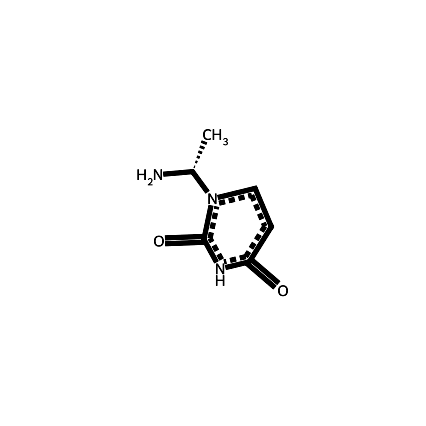 C[C@@H](N)n1ccc(=O)[nH]c1=O